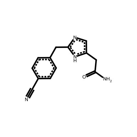 N#Cc1ccc(Cc2ncc(CC(N)=O)[nH]2)cc1